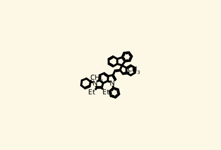 C/C=C\C(=C/C1=CN(c2ccccc2)C2C1=CC=C1C2C(CC)=C(CC)N1[C@]1(C)C=CCCC1)C1(C2=CC=CCC2)c2ccccc2C2C=CC=CC21